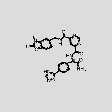 Cn1c(=O)oc2ccc(CNC(=O)c3cc(C(=O)N[C@@H](C(N)=O)c4ccc(-c5nnc[nH]5)cc4)ncn3)cc21